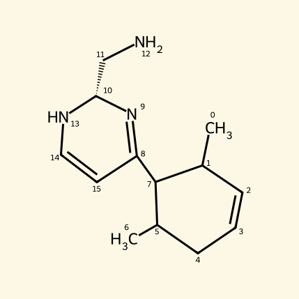 CC1C=CCC(C)C1C1=N[C@@H](CN)NC=C1